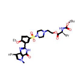 CCCc1cn(C)c2c(=O)[nH]c(-c3cc(S(=O)(=O)N4CCN(CCOC(=O)[C@@H](NC(=O)OC(C)(C)C)C(C)C)CC4)ccc3OCC)nc12